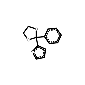 c1ccc(C2(c3cccs3)OCCO2)cc1